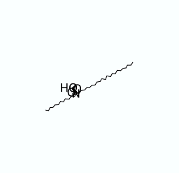 CCCCCCCCCCCCCCCCCCCCCCN(CCCCCCCCCCCC)S(=O)(=O)O